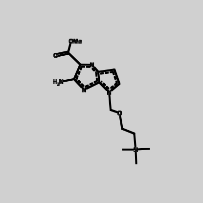 COC(=O)c1nc2ccn(COCC[Si](C)(C)C)c2nc1N